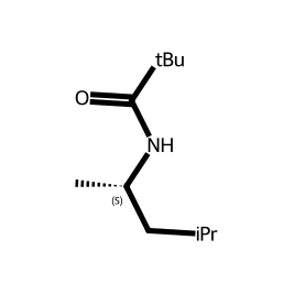 CC(C)C[C@H](C)NC(=O)C(C)(C)C